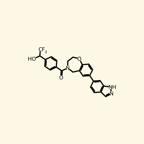 O=C(c1ccc(C(O)C(F)(F)F)cc1)N1CCOc2ccc(-c3ccc4cn[nH]c4c3)cc2C1